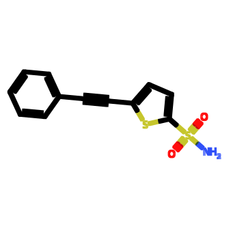 NS(=O)(=O)c1ccc(C#Cc2ccccc2)s1